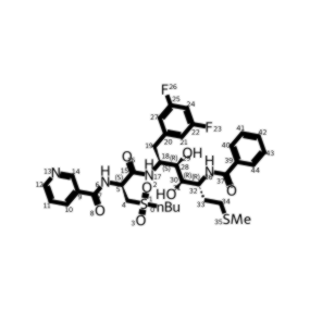 CCCCS(=O)(=O)C[C@@H](NC(=O)c1cccnc1)C(=O)N[C@@H](Cc1cc(F)cc(F)c1)[C@@H](O)[C@H](O)[C@@H](CCSC)NC(=O)c1ccccc1